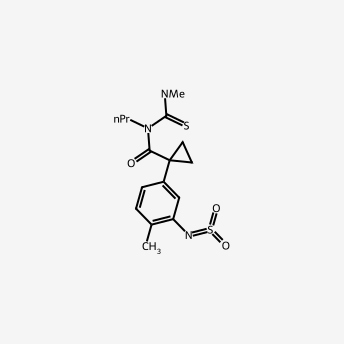 CCCN(C(=O)C1(c2ccc(C)c(N=S(=O)=O)c2)CC1)C(=S)NC